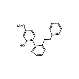 COc1ccc(-c2ccccc2CCc2ccccn2)c(O)c1